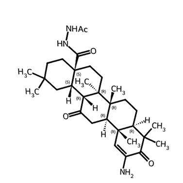 CC(=O)NNC(=O)[C@]12CCC(C)(C)C[C@H]1[C@H]1C(=O)C[C@@H]3[C@@]4(C)C=C(N)C(=O)C(C)(C)[C@@H]4CC[C@@]3(C)[C@]1(C)CC2